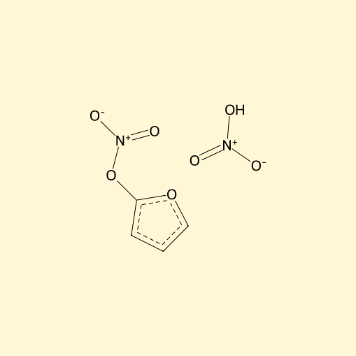 O=[N+]([O-])O.O=[N+]([O-])Oc1ccco1